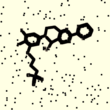 CC1c2cnc(-c3ncccn3)nc2CCN1c1cc(F)c(F)c(OCCCS(=O)(=O)Cl)c1